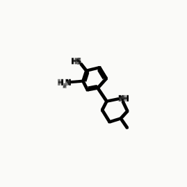 CC1CCC(c2ccc(S)c(N)c2)NC1